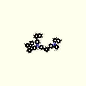 c1ccc(C2(c3ccccc3)c3ccccc3-c3ccc(N(c4ccc(-c5cccc(-c6ccc7c(c6)c6ccccc6n7-c6cccc7ccccc67)c5)cc4)c4ccc(-c5cccc6ccccc56)cc4)cc32)cc1